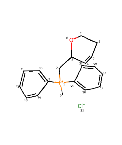 C[P+](CC1C=CCCO1)(c1ccccc1)c1ccccc1.[Cl-]